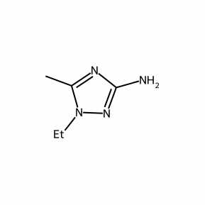 CCn1nc(N)nc1C